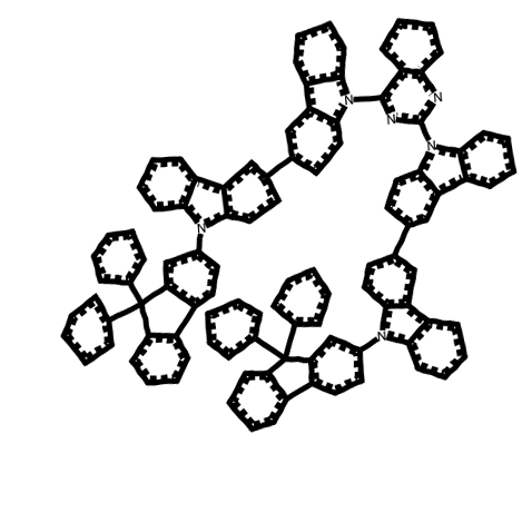 c1ccc(C2(c3ccccc3)c3ccccc3-c3ccc(-n4c5ccccc5c5cc(-c6ccc7c(c6)c6ccccc6n7-c6nc(-n7c8ccccc8c8cc(-c9ccc%10c(c9)c9ccccc9n%10-c9ccc%10c(c9)C(c9ccccc9)(c9ccccc9)c9ccccc9-%10)ccc87)c7ccccc7n6)ccc54)cc32)cc1